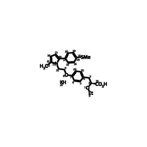 CCO[C@@H](Cc1ccc(OCCn2c(C)ccc2-c2ccc(SC)cc2)cc1)C(=O)O.[KH]